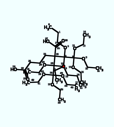 CCCOC(OCC)(C(OCC)(OCC)OCC)C(CCCC(=O)O)(C(=O)O)C(OCC)(OCCC)C(OCC)(OCC)OCC